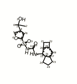 CC(C)(O)c1coc(S(=O)(=O)NC(=O)Nc2c3c(cc4c2CC4)CCC3)c1